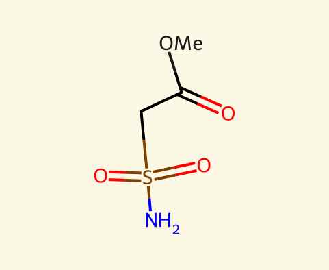 COC(=O)CS(N)(=O)=O